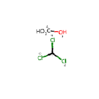 ClC(Cl)Cl.O=C(O)O